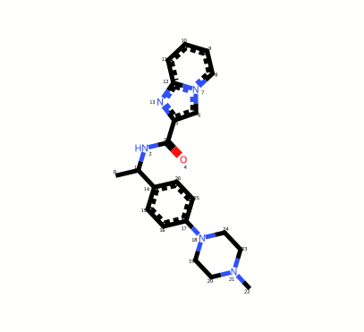 CC(NC(=O)c1cn2ccccc2n1)c1ccc(N2CCN(C)CC2)cc1